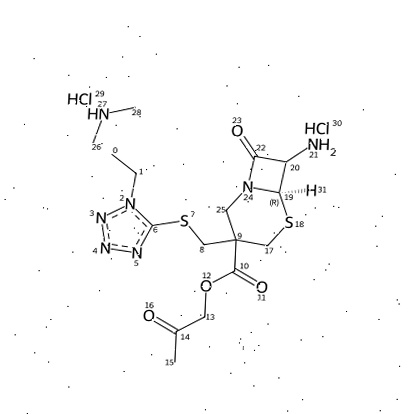 CCn1nnnc1SCC1(C(=O)OCC(C)=O)CS[C@@H]2C(N)C(=O)N2C1.CNC.Cl.Cl